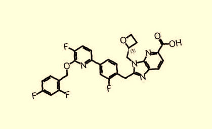 O=C(O)c1ccc2nc(Cc3ccc(-c4ccc(F)c(OCc5ccc(F)cc5F)n4)cc3F)n(C[C@@H]3CCO3)c2n1